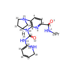 CC(C)NC(=O)c1ccc2c(n1)N(C(=O)NC1=CC=CCN1)[C@H]1CCN2C1